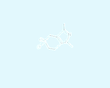 Cc1nn(C)c2c1CS(=O)(=O)CC2